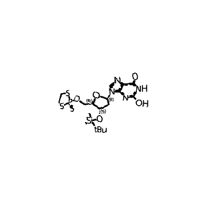 CC(C)(C)[Si](C)(C)O[C@H]1C[C@H](n2cnc3c(=O)[nH]c(O)nc32)O[C@@H]1COP1(=S)SCCS1